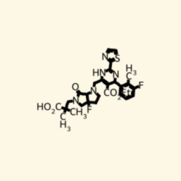 CCOC(=O)C1=C(CN2CCC3(F)CN(CC(C)(C)C(=O)O)C(=O)C23)NC(c2nccs2)=NC1c1cccc(F)c1C